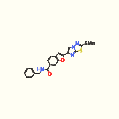 CSc1nn2cc(-c3cc4ccc(C(=O)NCc5ccccc5)cc4o3)nc2s1